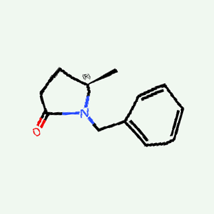 C[C@@H]1CCC(=O)N1Cc1ccccc1